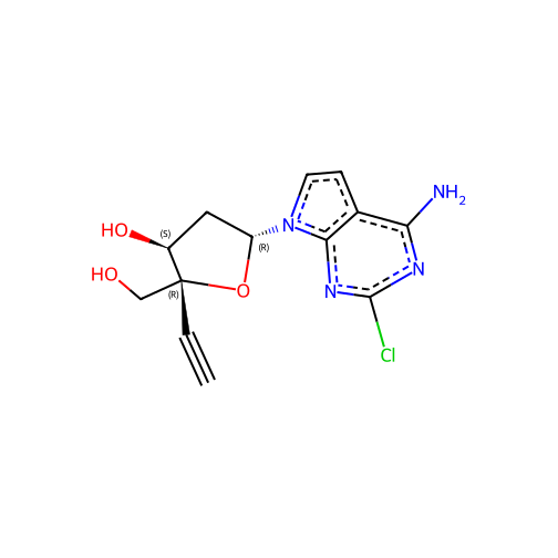 C#C[C@]1(CO)O[C@@H](n2ccc3c(N)nc(Cl)nc32)C[C@@H]1O